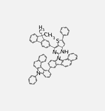 CC1(C)c2ccccc2-c2ccc(C3=C4SC(c5ccccc5)=CC4NC(n4c5ccc(-c6cccc7c6c6c8ccccc8ccc6n7-c6ccccc6)cc5c5ccc6ccccc6c54)=N3)cc21